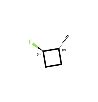 C[C@@H]1CC[C@H]1F